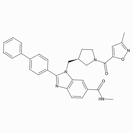 CNC(=O)c1ccc2nc(-c3ccc(-c4ccccc4)cc3)n(C[C@H]3CCN(C(=O)c4cc(C)no4)C3)c2c1